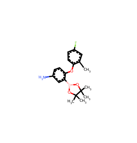 Cc1cc(F)ccc1Oc1ccc(N)cc1B1OC(C)(C)C(C)(C)O1